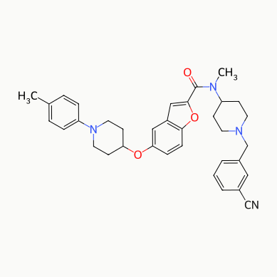 Cc1ccc(N2CCC(Oc3ccc4oc(C(=O)N(C)C5CCN(Cc6cccc(C#N)c6)CC5)cc4c3)CC2)cc1